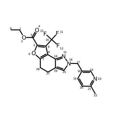 CCOC(=O)c1oc2c(c1C(F)(F)F)-c1nn(Cc3ccc(C)nc3)cc1CC2